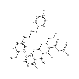 CCCC(CC1CC(=O)c2c(C)ccc(-c3cc(CCCCc4ccc(C)cc4)ccc3CC)c2C1)C(CC)C(=O)CC(C)=O